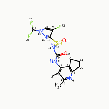 Cc1c(C(F)(F)F)nc2c(c1NC(=O)/N=[SH](=O)/c1nn(C(F)F)cc1F)CCC2